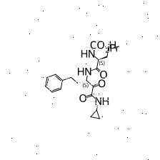 CC(C)C[C@H](NC(=O)O)C(=O)N[C@@H](CCc1ccccc1)C(=O)C(=O)NC1CC1